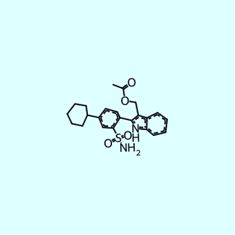 CC(=O)OCc1c(-c2ccc(C3CCCCC3)cc2S(N)(=O)=O)[nH]c2ccccc12